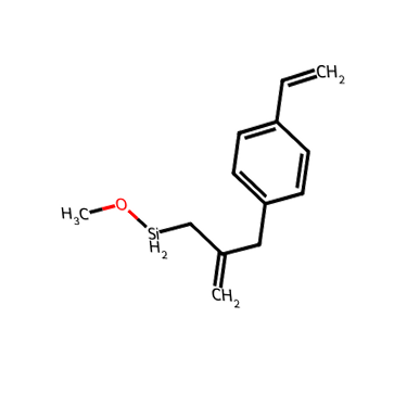 C=Cc1ccc(CC(=C)C[SiH2]OC)cc1